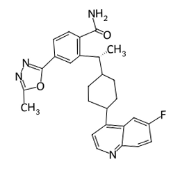 Cc1nnc(-c2ccc(C(N)=O)c([C@H](C)C3CCC(c4ccnc5ccc(F)cc45)CC3)c2)o1